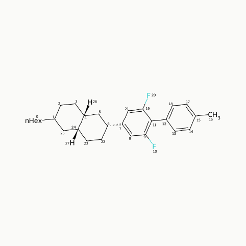 CCCCCCC1CC[C@@H]2C[C@H](c3cc(F)c(-c4ccc(C)cc4)c(F)c3)CC[C@@H]2C1